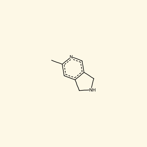 Cc1cc2c(cn1)CNC2